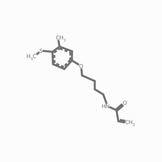 C=CC(=O)NCCCCOc1ccc(SC)c(C)c1